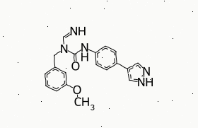 COc1cccc(CN(C=N)C(=O)Nc2ccc(-c3cn[nH]c3)cc2)c1